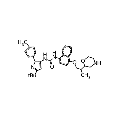 Cc1ccc(C2N=C(C(C)(C)C)C=C2NC(=O)Nc2ccc(OCC(C)C3CNCCO3)c3ccccc23)cc1